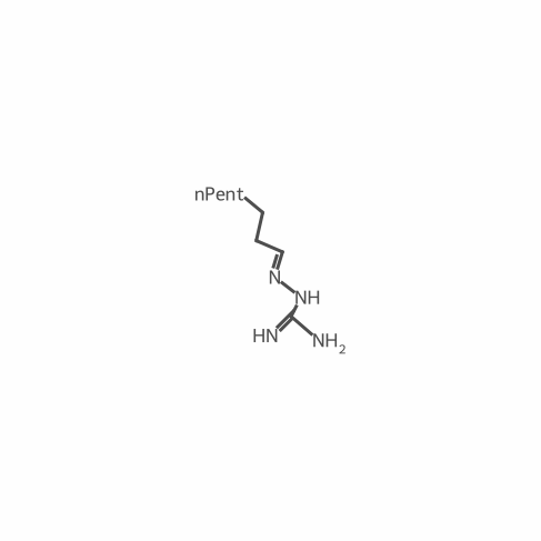 CCCCCCC/C=N/NC(=N)N